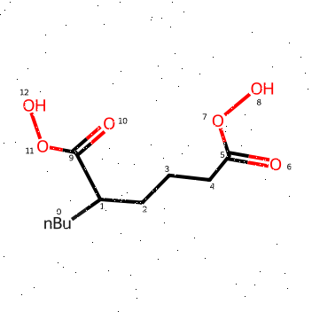 CCCCC(CCCC(=O)OO)C(=O)OO